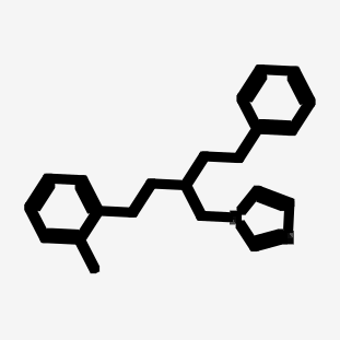 Cc1ccccc1CCC(CCc1ccccc1)Cn1ccnc1